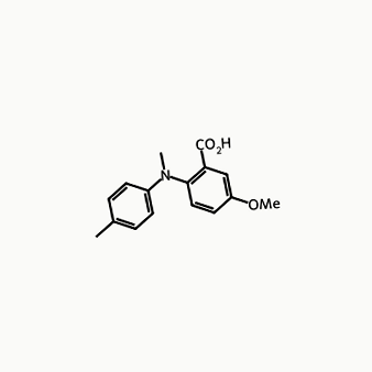 COc1ccc(N(C)c2ccc(C)cc2)c(C(=O)O)c1